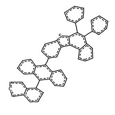 c1ccc(-c2c(-c3ccccc3)c3sc4ccc(-c5c6ccccc6c(-c6cccc7ccccc67)c6ccccc56)cc4c3c3ccccc23)cc1